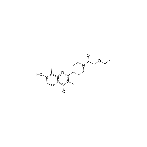 CCOCC(=O)N1CCC(c2oc3c(C)c(O)ccc3c(=O)c2C)CC1